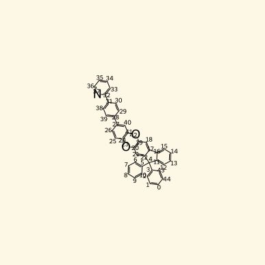 c1ccc(C2(c3ccccc3)c3ccccc3-c3cc4c(cc32)Oc2ccc(-c3ccc(-c5ccccn5)cc3)cc2O4)cc1